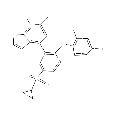 Cc1cc(-c2cc(S(=O)(=O)C3CC3)ccc2Oc2ccc(F)cc2F)c2cc[nH]c2[n+]1[O-]